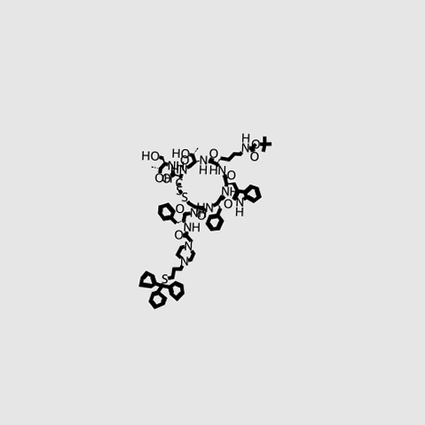 C[C@@H](O)[C@@H]1NC(=O)[C@H](CCCCNC(=O)OC(C)(C)C)NC(=O)[C@@H](Cc2c[nH]c3ccccc23)NC(=O)[C@H](Cc2ccccc2)NC(=O)[C@@H](NC(=O)[C@@H](Cc2ccccc2)NC(=O)CN2CCN(CCCSC(c3ccccc3)(c3ccccc3)c3ccccc3)CC2)CSSC[C@@H](C(=O)N[C@H](CO)[C@@H](C)O)NC1=O